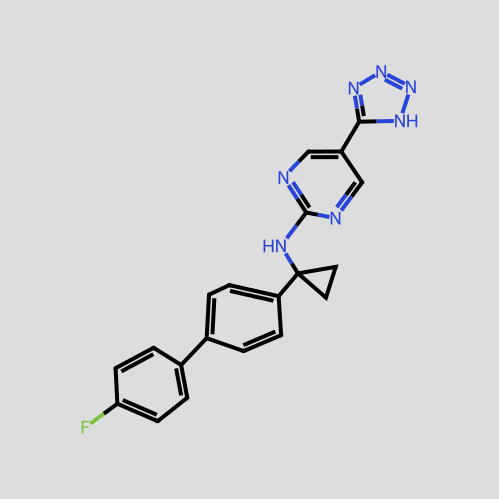 Fc1ccc(-c2ccc(C3(Nc4ncc(-c5nnn[nH]5)cn4)CC3)cc2)cc1